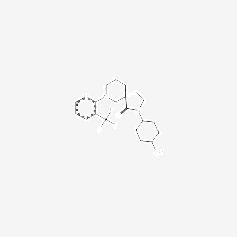 O=C1N(C2CCC(O)CC2)CC[C@]12CCCN(c1ncccc1C(F)(F)F)C2